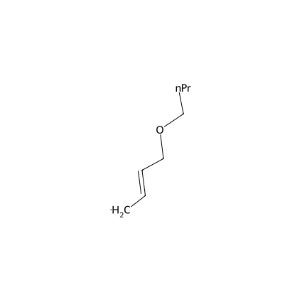 [CH2]C=CCOCCCC